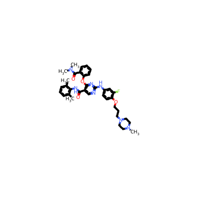 Cc1cccc(C)c1NC(=O)c1cnc(Nc2ccc(OCCCN3CCN(C)CC3)c(F)c2)nc1Oc1ccccc1C(=O)N(C)C